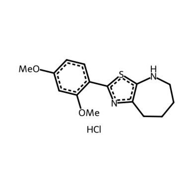 COc1ccc(-c2nc3c(s2)NCCCC3)c(OC)c1.Cl